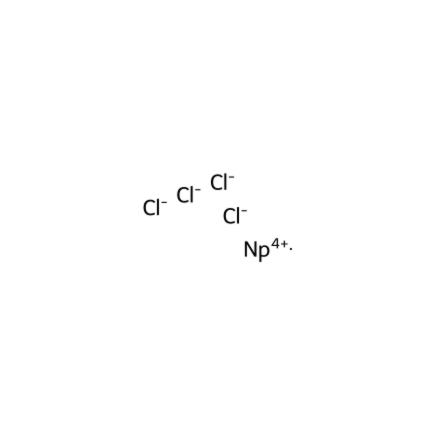 [Cl-].[Cl-].[Cl-].[Cl-].[Np+4]